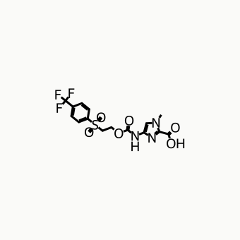 Cn1cc(NC(=O)OCCS(=O)(=O)c2ccc(C(F)(F)F)cc2)nc1C(=O)O